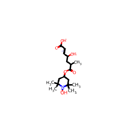 CC(CC(O)/C=C/C(=O)O)C(=O)OC1CC(C)(C)N(O)C(C)(C)C1